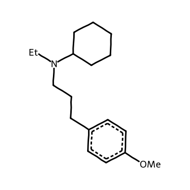 CCN(CCCc1ccc(OC)cc1)C1CCCCC1